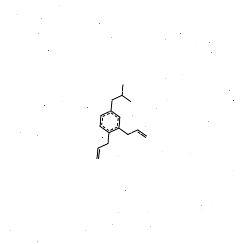 C=CCc1ccc(CC(C)C)cc1CC=C